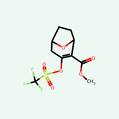 COC(=O)C1=C(OS(=O)(=O)C(F)(F)F)CC2CCC1O2